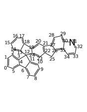 c1ccc2c(c1)-c1ccccc1C21c2ccccc2-c2cc3c(cc21)Cc1c-3ccc2ncccc12